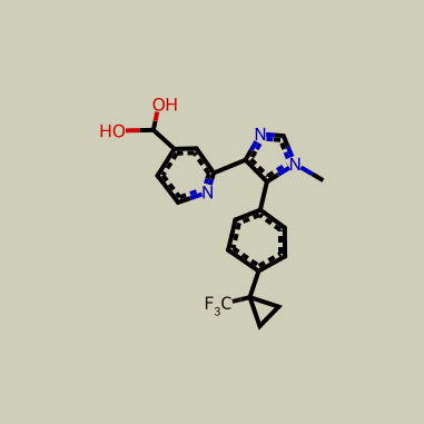 Cn1cnc(-c2cc(C(O)O)ccn2)c1-c1ccc(C2(C(F)(F)F)CC2)cc1